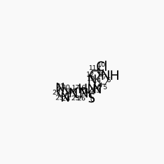 S=C(N/N=C1/CCNc2c(Cl)ccnc21)N1CCN(c2cnccn2)CC1